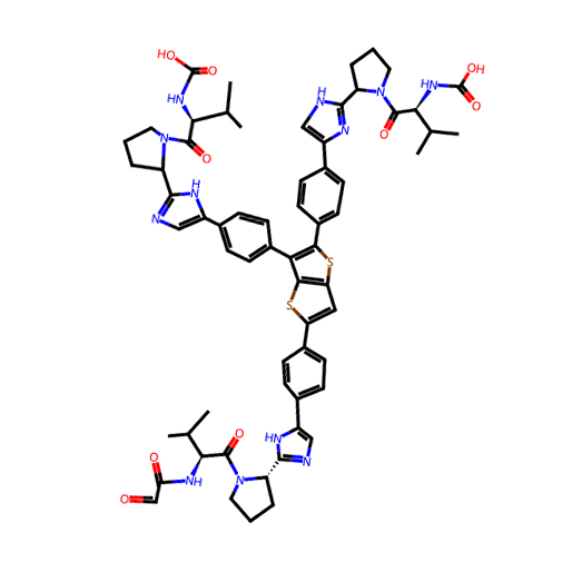 CC(C)[C@H](NC(=O)O)C(=O)N1CCCC1c1nc(-c2ccc(-c3sc4cc(-c5ccc(-c6cnc([C@@H]7CCCN7C(=O)[C@@H](NC(=O)C=O)C(C)C)[nH]6)cc5)sc4c3-c3ccc(-c4cnc(C5CCCN5C(=O)[C@@H](NC(=O)O)C(C)C)[nH]4)cc3)cc2)c[nH]1